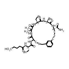 CC[C@H](C)[C@@H]1NC(=O)[C@H](CC(C)C)NC(=O)C(C)(C)NC(=O)C(NC(=O)[C@H](CC(C)C)NC(=O)CCCC(=O)O)CSCc2cccc(c2)CSC[C@@H](C(N)=O)NC1=O